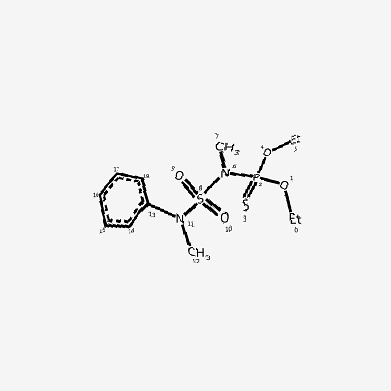 CCOP(=S)(OCC)N(C)S(=O)(=O)N(C)c1ccccc1